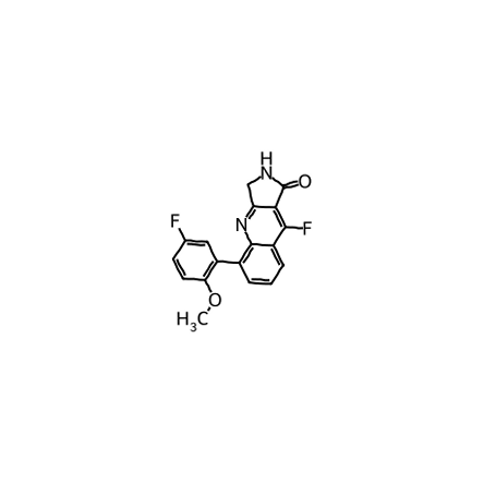 COc1ccc(F)cc1-c1cccc2c(F)c3c(nc12)CNC3=O